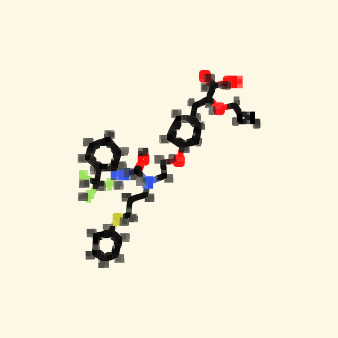 CCOC(Cc1ccc(OCCN(CCCSc2ccccc2)C(=O)Nc2ccccc2C(F)(F)F)cc1)C(=O)O